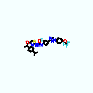 CC(C)c1ccc(C(C)C)c(N2C(=O)CS/C2=N\C(=O)Nc2ccc(-c3ncn(-c4ccc(OC(F)(F)F)cc4)n3)cc2F)c1